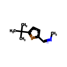 C/N=C\c1ccc(C(C)(C)C)s1